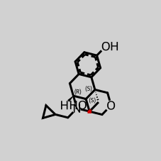 Oc1ccc2c(c1)[C@]13CCN(CC4CC4)[C@H](C2)[C@]1(O)CCOC3